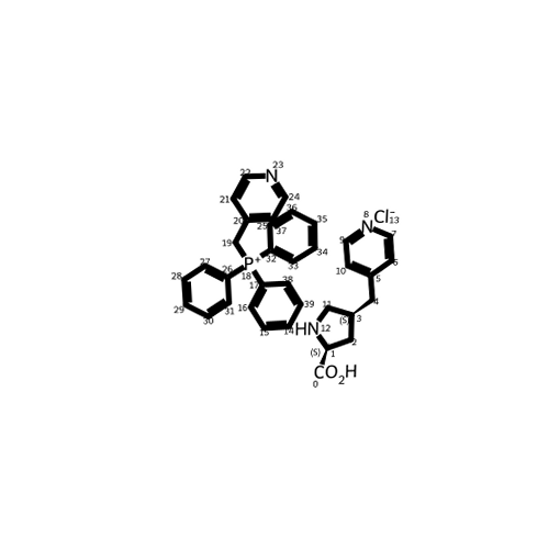 O=C(O)[C@@H]1C[C@H](Cc2ccncc2)CN1.[Cl-].c1ccc([P+](Cc2ccncc2)(c2ccccc2)c2ccccc2)cc1